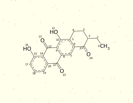 CCC1CCc2c(cc3c(c2O)C(=O)c2c(O)cccc2C3=O)C1=O